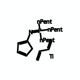 C=CC=C.CCCCCP(CCCCC)(CCCCC)=NC1=CC=CC1.[Ti]